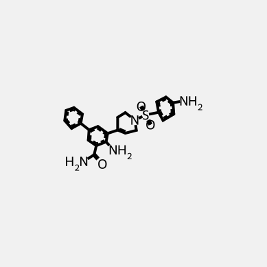 NC(=O)c1cc(-c2ccccc2)cc(C2=CCN(S(=O)(=O)c3ccc(N)cc3)CC2)c1N